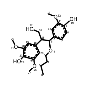 CCCCOC(c1ccc(O)c(OC)c1)C(CO)c1cc(OC)c(O)c(OC)c1